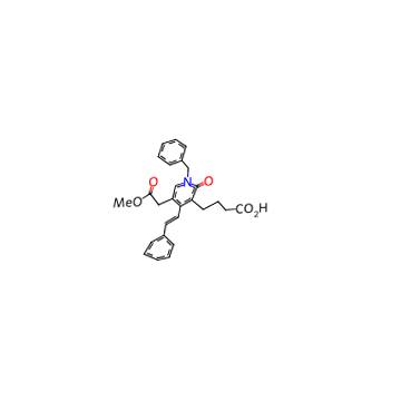 COC(=O)Cc1cn(Cc2ccccc2)c(=O)c(CCCC(=O)O)c1/C=C/c1ccccc1